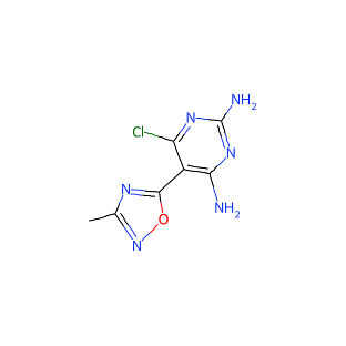 Cc1noc(-c2c(N)nc(N)nc2Cl)n1